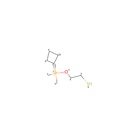 CP(C)(OCCS)=C1CCC1